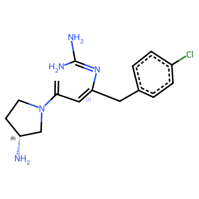 C=C(/C=C(/Cc1ccc(Cl)cc1)N=C(N)N)N1CC[C@@H](N)C1